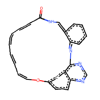 O=C1\C=C/C=C\C=C/C=C\Oc2ccc3ncnc(c3c2)/N=c2/cccc/c2=C/N1